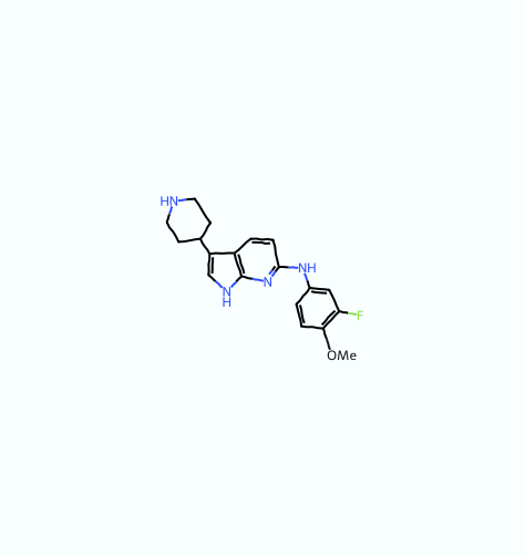 COc1ccc(Nc2ccc3c(C4CCNCC4)c[nH]c3n2)cc1F